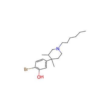 CCCCCCN1CCC(C)(c2ccc(Br)c(O)c2)C(C)C1